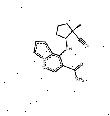 C[C@]1(C#N)CCC[C@@H]1Nc1c(C(N)=O)cnn2cccc12